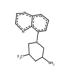 NC1CC(C(F)(F)F)CN(c2cccc3nccnc23)C1